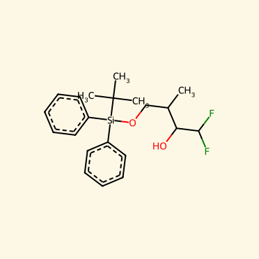 CC(CO[Si](c1ccccc1)(c1ccccc1)C(C)(C)C)C(O)C(F)F